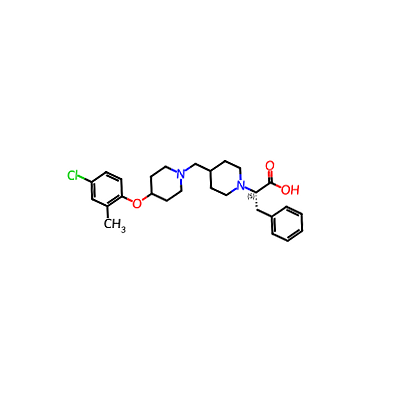 Cc1cc(Cl)ccc1OC1CCN(CC2CCN([C@@H](Cc3ccccc3)C(=O)O)CC2)CC1